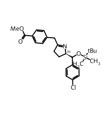 COC(=O)c1ccc(CC2=N[C@@H](C(O[Si](C)(C)C(C)(C)C)c3ccc(Cl)cc3)CC2)cc1